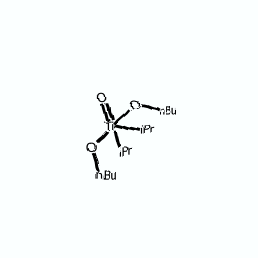 CCCC[O][Ti](=[O])([O]CCCC)([CH](C)C)[CH](C)C